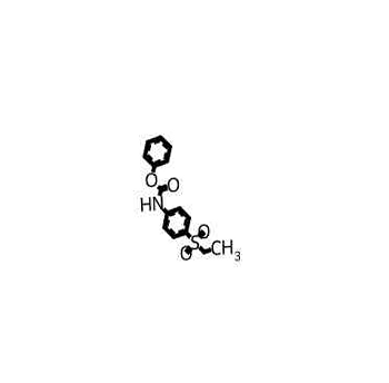 CCS(=O)(=O)c1ccc(NC(=O)Oc2ccccc2)cc1